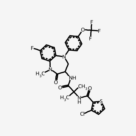 CN1C(=O)C(NC(=O)C(C)(C)NC(=O)c2sccc2Cl)CN(c2ccc(OC(F)(F)F)cc2)c2ccc(F)cc21